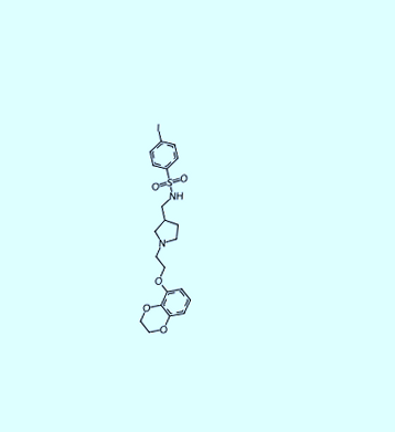 O=S(=O)(NCC1CCN(CCOc2cccc3c2OCCO3)C1)c1ccc(I)cc1